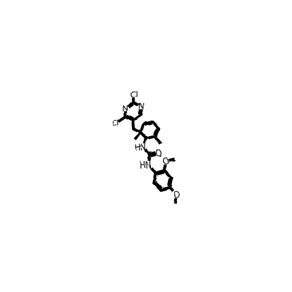 COc1ccc(NC(=O)NC2C(C)=CC=CC2(C)Cc2cnc(Cl)nc2Cl)c(OC)c1